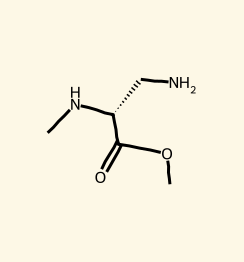 CN[C@H](CN)C(=O)OC